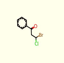 O=C(CC(Cl)Br)c1ccccc1